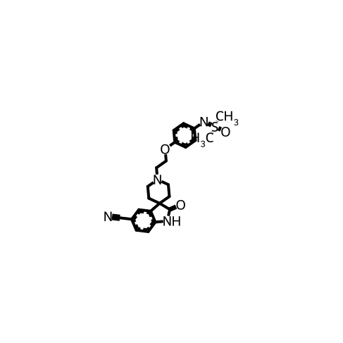 CS(C)(=O)=Nc1ccc(OCCN2CCC3(CC2)C(=O)Nc2ccc(C#N)cc23)cc1